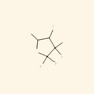 FC1SC(F)(F)C(F)(F)C1F